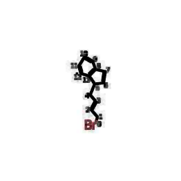 BrCC=CCC1C=Cc2ccc[c]c21